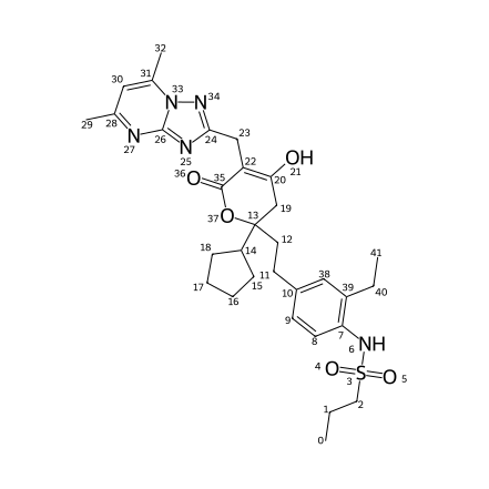 CCCS(=O)(=O)Nc1ccc(CCC2(C3CCCC3)CC(O)=C(Cc3nc4nc(C)cc(C)n4n3)C(=O)O2)cc1CC